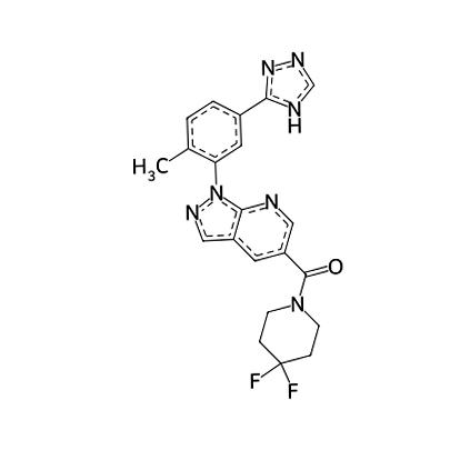 Cc1ccc(-c2nnc[nH]2)cc1-n1ncc2cc(C(=O)N3CCC(F)(F)CC3)cnc21